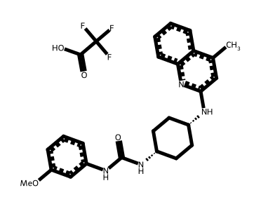 COc1cccc(NC(=O)N[C@H]2CC[C@@H](Nc3cc(C)c4ccccc4n3)CC2)c1.O=C(O)C(F)(F)F